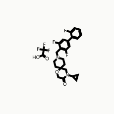 O=C(O)C(F)(F)F.O=C1COC2(CCN(Cc3c(F)cc(-c4ccccc4F)cc3F)CC2)CN1C1CC1